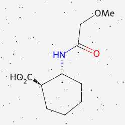 COCC(=O)N[C@@H]1CCCC[C@H]1C(=O)O